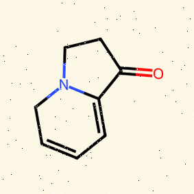 O=C1CCN2CC=CC=C12